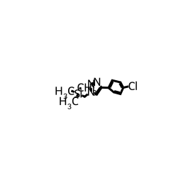 C[Si](C)(C)Cn1cc(-c2ccc(Cl)cc2)nn1